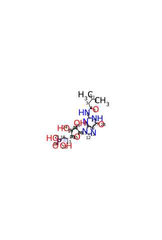 CC(C)CC(=O)Nc1nc2c(ncn2[C@@H]2O[C@H](/C=C/P(=O)(O)O)[C@@H](O)[C@H]2O)c(=O)[nH]1